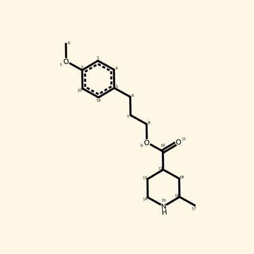 COc1ccc(CCCOC(=O)C2CCNC(C)C2)cc1